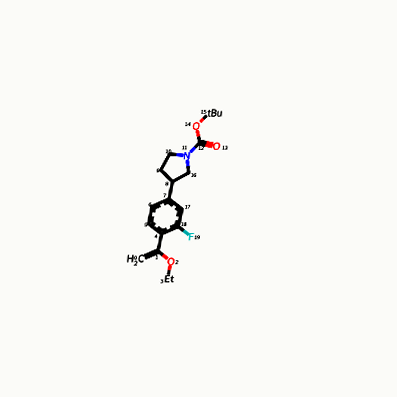 C=C(OCC)c1ccc(C2CCN(C(=O)OC(C)(C)C)C2)cc1F